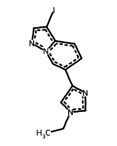 CCn1cnc(-c2ccc3c(I)cnn3c2)c1